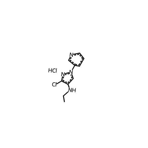 CCNc1cn(-c2cccnc2)nc1Cl.Cl